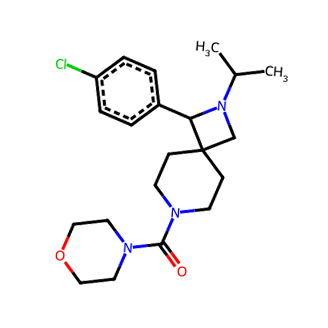 CC(C)N1CC2(CCN(C(=O)N3CCOCC3)CC2)C1c1ccc(Cl)cc1